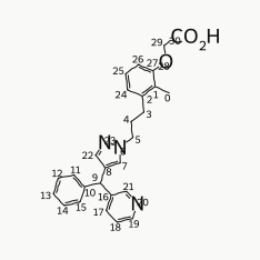 Cc1c(CCCn2cc(C(c3ccccc3)c3cccnc3)cn2)cccc1OCC(=O)O